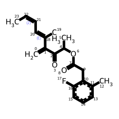 C=C(C(=O)C(C)OC(=O)Cc1c(C)cccc1F)/C(C)=C/C=C\C